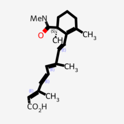 CNC(=O)[C@@]1(C)CCCC(C)=C1/C=C/C(C)=C/C=C/C(C)=C/C(=O)O